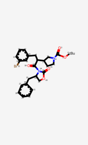 CC(C)(C)OC(=O)N1CCC(C(Cc2cccc(Br)c2)C(=O)N2C(=O)OCC2Cc2ccccc2)C1